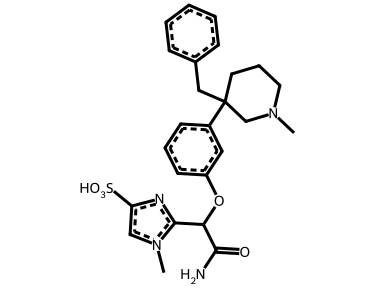 CN1CCCC(Cc2ccccc2)(c2cccc(OC(C(N)=O)c3nc(S(=O)(=O)O)cn3C)c2)C1